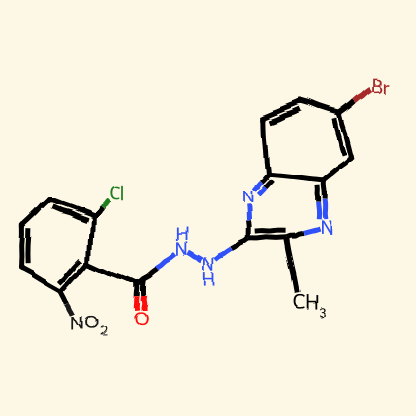 Cc1nc2cc(Br)ccc2nc1NNC(=O)c1c(Cl)cccc1[N+](=O)[O-]